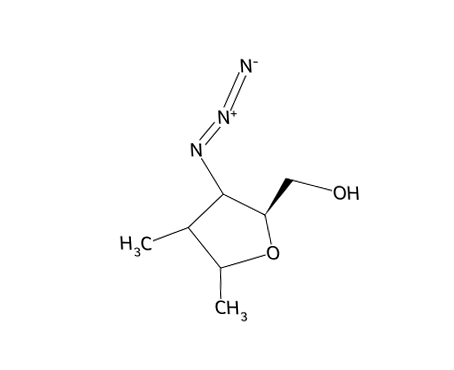 CC1O[C@H](CO)C(N=[N+]=[N-])C1C